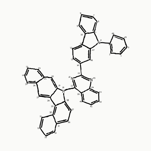 c1ccc(-n2c3ccccc3c3ccc(-c4nc(-n5c6cc7ccccc7cc6c6c7ccccc7ccc65)c5ccccc5n4)cc32)cc1